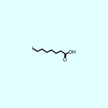 O=C(O)CCCCCCI